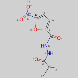 CC(C)C(=O)NNC(=O)c1ccc([N+](=O)[O-])o1